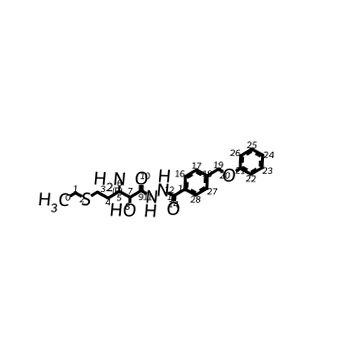 CCSCC[C@@H](N)C(O)C(=O)NNC(=O)c1ccc(COc2ccccc2)cc1